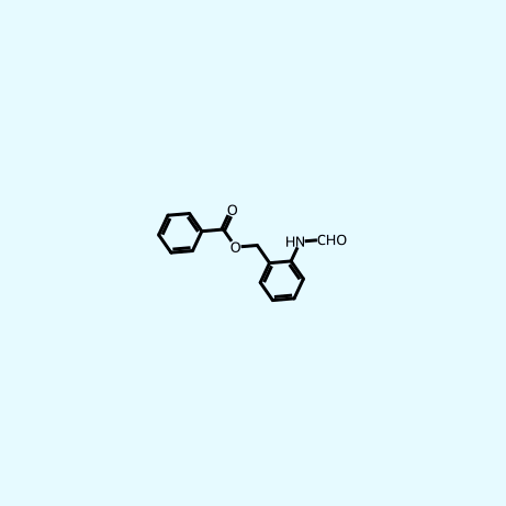 O=CNc1ccccc1COC(=O)c1ccccc1